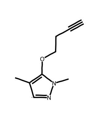 C#CCCOc1c(C)[c]nn1C